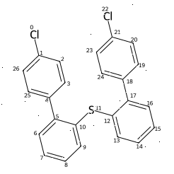 Clc1ccc(-c2ccccc2Sc2ccccc2-c2ccc(Cl)cc2)cc1